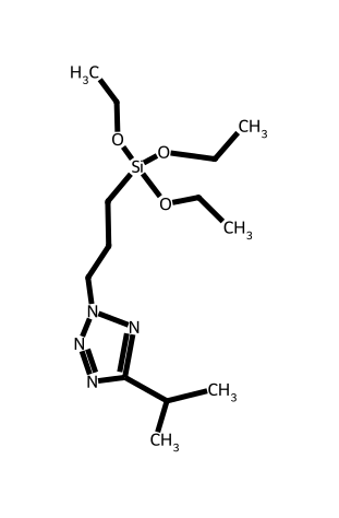 CCO[Si](CCCn1nnc(C(C)C)n1)(OCC)OCC